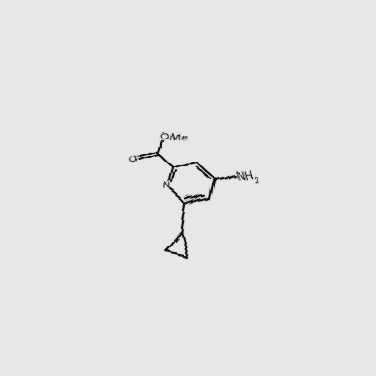 COC(=O)c1cc(N)cc(C2CC2)n1